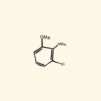 CCc1cccc(OC)c1NC